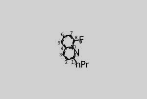 CCCc1ccc2cccc(F)c2n1